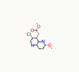 COC(=O)Cc1c(Cl)cnc2ccc(OC)nc12